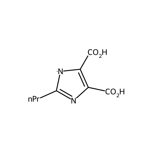 CCCC1=NC(C(=O)O)=C(C(=O)O)[N]1